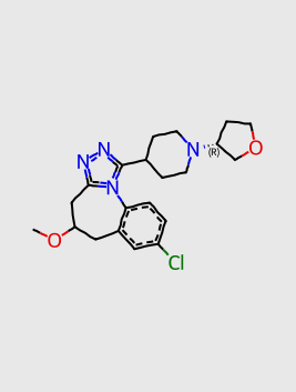 COC1Cc2cc(Cl)ccc2-n2c(nnc2C2CCN([C@@H]3CCOC3)CC2)C1